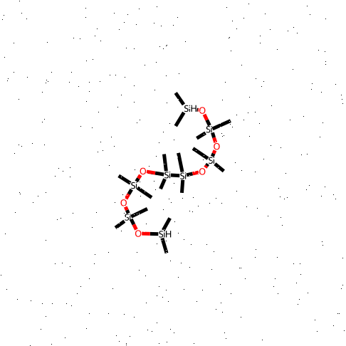 C[SiH](C)O[Si](C)(C)O[Si](C)(C)O[Si](C)(C)[Si](C)(C)O[Si](C)(C)O[Si](C)(C)O[SiH](C)C